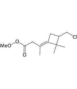 COOC(=O)C/C(C)=C1\CC(CCl)C1(C)C